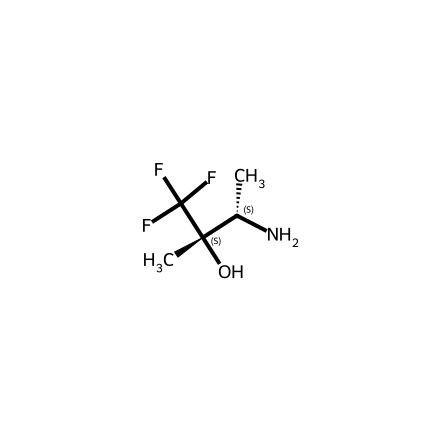 C[C@H](N)[C@](C)(O)C(F)(F)F